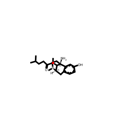 CC(C)CCC(=O)N(C)C1[C@H]2Cc3ccc(O)cc3[C@@]1(N)CCN2C